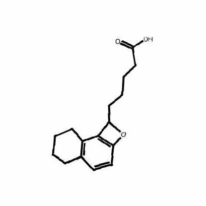 O=C(O)CCCCC1Oc2ccc3c(c21)CCCC3